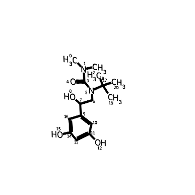 CN(C)C(=O)N(CC(O)c1cc(O)cc(O)c1)C(C)(C)C